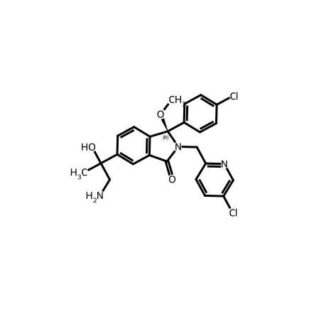 CO[C@]1(c2ccc(Cl)cc2)c2ccc(C(C)(O)CN)cc2C(=O)N1Cc1ccc(Cl)cn1